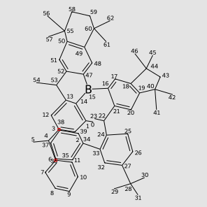 Cc1cc(C(C)c2ccccc2)cc2c1B(c1cc3c(cc1C(C)c1ccc(C(C)(C)C)cc1-c1ccccc1)C(C)(C)CC3(C)C)c1cc3c(cc1C2C)C(C)(C)CCC3(C)C